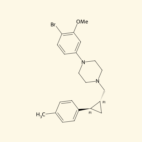 COc1cc(N2CCN(C[C@@H]3C[C@H]3c3ccc(C)cc3)CC2)ccc1Br